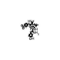 CC(C)C[C@H](NC(=O)[C@@H](N)Cc1ccc(O)cc1)C(=O)N[C@H](C(=O)Nc1ccc([N+](=O)[O-])cc1)C(C)C